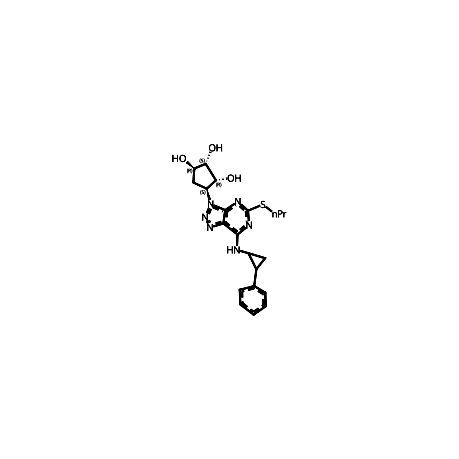 CCCSc1nc(NC2CC2c2ccccc2)c2nnn([C@H]3C[C@@H](O)[C@H](O)[C@@H]3O)c2n1